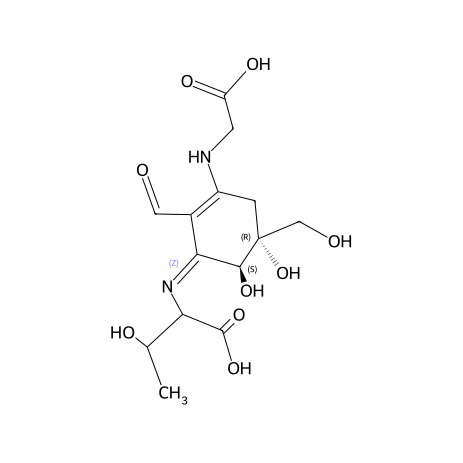 CC(O)C(/N=C1/C(C=O)=C(NCC(=O)O)C[C@@](O)(CO)[C@H]1O)C(=O)O